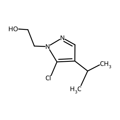 CC(C)c1cnn(CCO)c1Cl